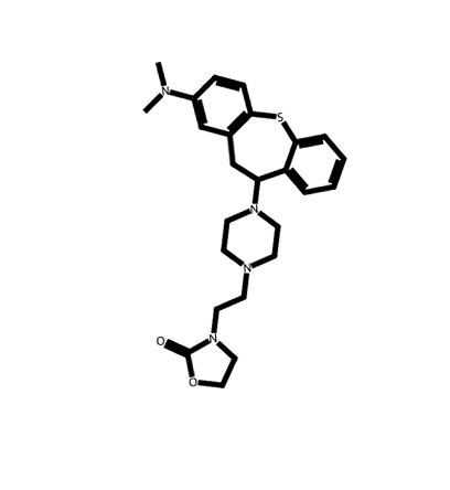 CN(C)c1ccc2c(c1)CC(N1CCN(CCN3CCOC3=O)CC1)c1ccccc1S2